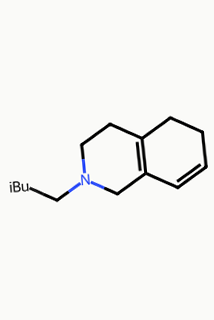 CCC(C)CN1CCC2=C(C=CCC2)C1